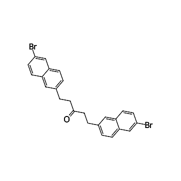 O=C(CCc1ccc2cc(Br)ccc2c1)CCc1ccc2cc(Br)ccc2c1